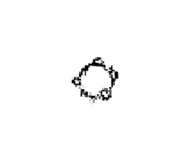 O=C1CN2CCN(CC2)Cc2cccc(c2)Nc2cc(ccn2)-c2ccc(nc2)N2CCCC2CCN1